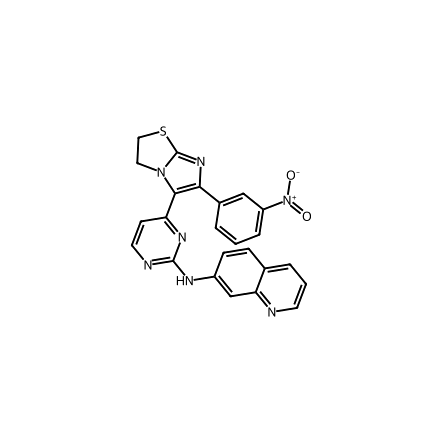 O=[N+]([O-])c1cccc(-c2nc3n(c2-c2ccnc(Nc4ccc5cccnc5c4)n2)CCS3)c1